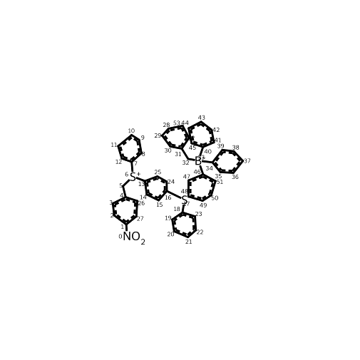 O=[N+]([O-])c1ccc(C[S+](c2ccccc2)c2ccc(Sc3ccccc3)cc2)cc1.c1ccc(C[B-](c2ccccc2)(c2ccccc2)c2ccccc2)cc1